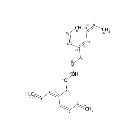 C=C/C=C\C(=C/C=C)COBOCC(/C=C\C)=C/C=C\C